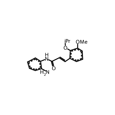 COc1cccc(C=CC(=O)Nc2ccccc2N)c1OC(C)C